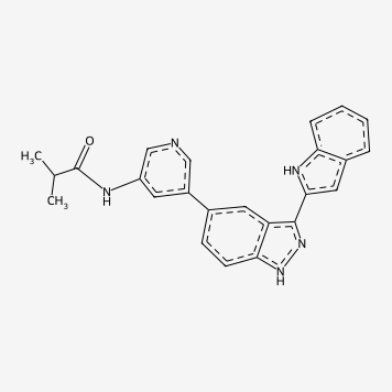 CC(C)C(=O)Nc1cncc(-c2ccc3[nH]nc(-c4cc5ccccc5[nH]4)c3c2)c1